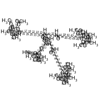 CCOCOC1C(COC(C)=O)OC(OCCCCCCCCCCCC(=O)NC(CCCCNC(=O)CCCCCCCCCCCOC(OC(C)COC(C)=O)C(NC(C)=O)C(OC(C)=O)OC(C)=O)C(=O)NC(CCCCNC(=O)CCCCCCCCCCCOC(OC(C)COC(C)=O)C(NC(C)=O)C(OC(C)=O)OC(C)=O)C(=O)NCCOCCOP(OCCC=N)N(C(C)C)C(C)C)C(NC(C)=O)C1OC(C)=O